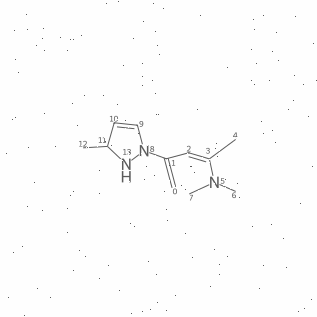 C=C(/C=C(/C)N(C)C)N1C=CC(C)N1